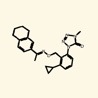 CC(=NOCc1c(C2CC2)cccc1-n1nnn(C)c1=O)c1ccc2c(c1)CCCC2